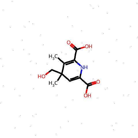 CC1=C(C(=O)O)NC(C(=O)O)=CC1(C)CO